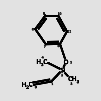 C=C[Si](C)(C)Oc1cc[c]cc1